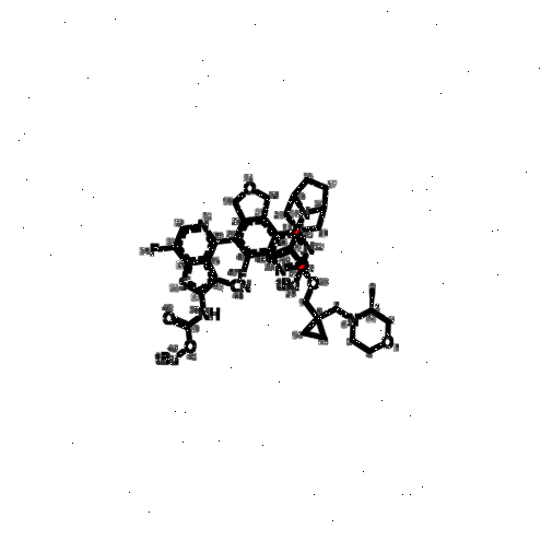 C[C@H]1COCCN1CC1(COc2nc(N3C4CCC3CN(C(=O)OC(C)(C)C)C4)c3c4c(c(-c5ncc(F)c6sc(NC(=O)OC(C)(C)C)c(C#N)c56)c(F)c3n2)COC4)CC1